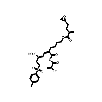 C=C(CCC1CO1)C(=O)OCCCCC(=CC=C(CCS(=O)(=O)c1ccc(C)cc1)C(=O)O)C(=O)OC(=O)C(=C)CC